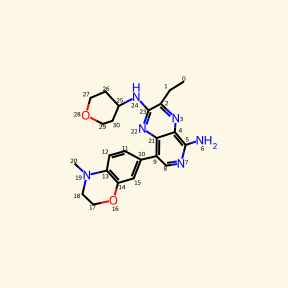 CCc1nc2c(N)ncc(-c3ccc4c(c3)OCCN4C)c2nc1NC1CCOCC1